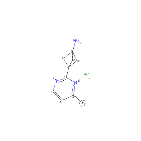 Cl.NC12CC(c3nccc(C(F)(F)F)n3)(C1)C2